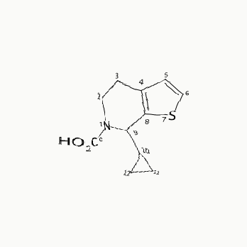 O=C(O)N1CCc2ccsc2C1C1CC1